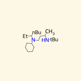 CCCCC(CC)N(CCC(C)NC(C)(C)C)C1CCCCC1